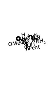 CCCCCOC(O)C(C)(C)NP(=O)(CO[C@H](C)Cn1cnc2c(N)ncnc21)NC(=O)c1ccccc1OC